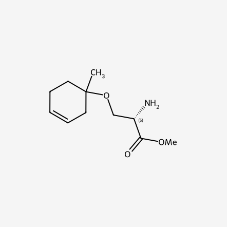 COC(=O)[C@@H](N)COC1(C)CC=CCC1